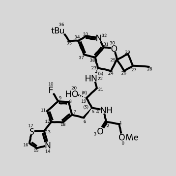 COCC(=O)N[C@@H](Cc1cc(F)cc(-c2nccs2)c1)[C@H](O)CN[C@H]1CC2(CC(C)C2)Oc2ncc(CC(C)(C)C)cc21